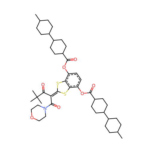 CC1CCC(C2CCC(C(=O)Oc3ccc(OC(=O)C4CCC(C5CCC(C)CC5)CC4)c4c3SC(=C(C(=O)N3CCOCC3)C(=O)C(C)(C)C)S4)CC2)CC1